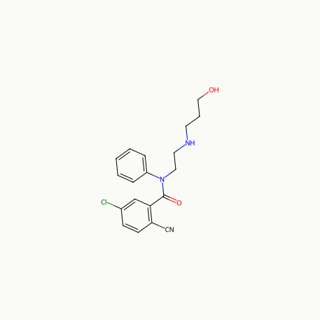 N#Cc1ccc(Cl)cc1C(=O)N(CCNCCCO)c1ccccc1